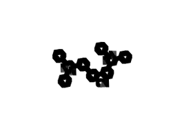 N#Cc1ccc(-c2cccc(-c3cc(-c4ccccc4)nc(-c4ccccc4)n3)c2)cc1-c1cccc(-c2cc(-c3ccccc3)nc(-c3ccccc3)n2)c1